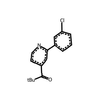 CC(C)(C)C(=O)c1ccnc(-c2cccc(Cl)c2)c1